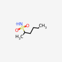 CCCCC(C)S([NH])(=O)=O